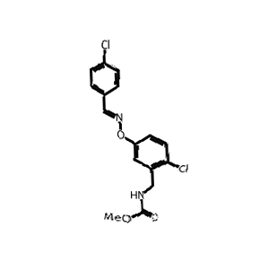 COC(=O)NCc1cc(O/N=C/c2ccc(Cl)cc2)ccc1Cl